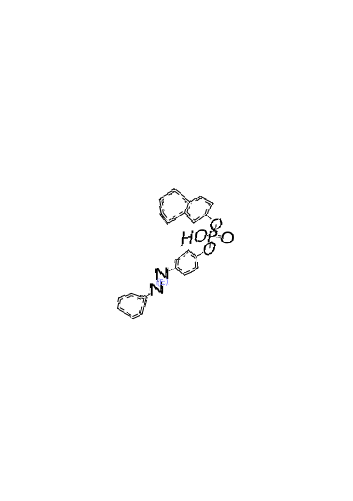 O=P(O)(Oc1ccc(/N=N/c2ccccc2)cc1)Oc1ccc2ccccc2c1